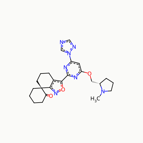 CN1CCC[C@H]1COc1cc(-n2cncn2)nc(-c2onc3c2CCC[C@@]32CCCCC2=O)n1